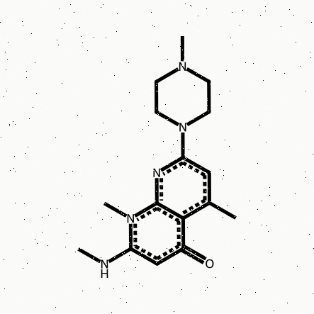 CNc1cc(=O)c2c(C)cc(N3CCN(C)CC3)nc2n1C